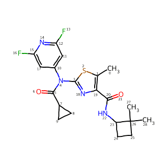 Cc1sc(N(C(=O)C2CC2)c2cc(F)nc(F)c2)nc1C(=O)NC1CCC1(C)C